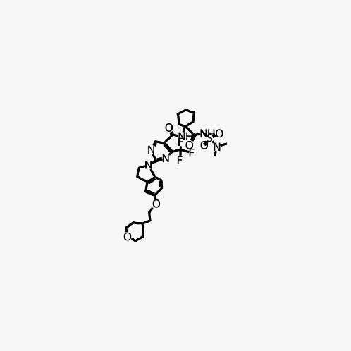 CN(C)S(=O)(=O)NC(=O)C1(NC(=O)c2cnc(N3CCc4cc(OCCC5CCOCC5)ccc43)nc2C(F)(F)F)CCCCC1